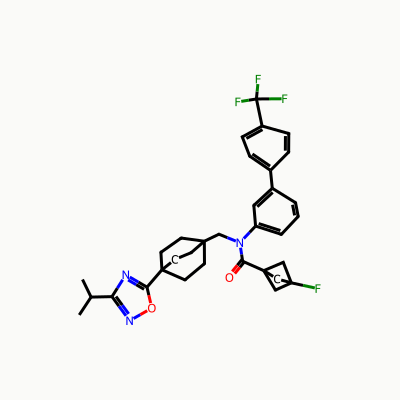 CC(C)c1noc(C23CCC(CN(C(=O)C45CC(F)(C4)C5)c4cccc(-c5ccc(C(F)(F)F)cc5)c4)(CC2)CC3)n1